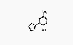 Cc1ccc(O)c(C2=CC=CC2)c1